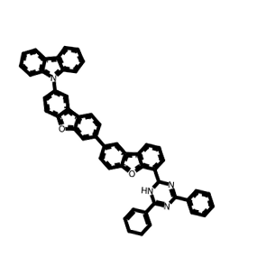 C1=CC(C2=NC(c3ccccc3)=NC(c3cccc4c3oc3ccc(-c5ccc6c(c5)oc5ccc(-n7c8ccccc8c8ccccc87)cc56)cc34)N2)=CCC1